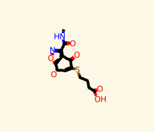 CNC(=O)c1noc2c1C(=O)C(SCCCC(=O)O)=CC2=O